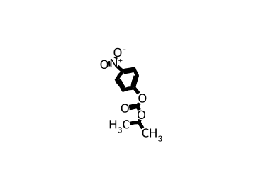 CC(C)OC(=O)Oc1ccc([N+](=O)[O-])cc1